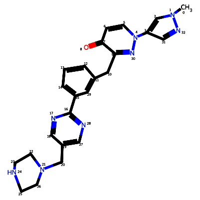 Cn1cc(-n2ccc(=O)c(Cc3cccc(-c4ncc(CN5CCNCC5)cn4)c3)n2)cn1